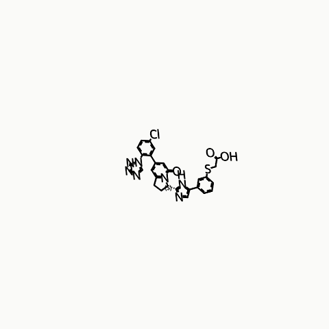 O=C(O)CSc1cccc(-c2cnc([C@@H]3CCc4cc(-c5cc(Cl)ccc5-n5cnnn5)cc(=O)n43)[nH]2)c1